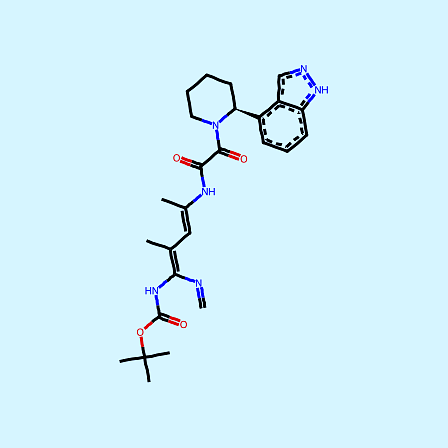 C=N/C(NC(=O)OC(C)(C)C)=C(C)\C=C(/C)NC(=O)C(=O)N1CCCC[C@H]1c1cccc2[nH]ncc12